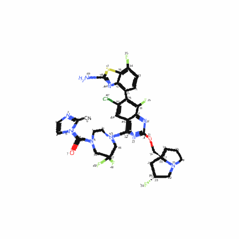 N#Cc1nccn1C(=O)N1CCN(c2nc(OC[C@@]34CCCN3C[C@H](F)C4)nc3c(F)c(-c4ccc(F)c5sc(N)nc45)c(Cl)cc23)CC(F)(F)C1